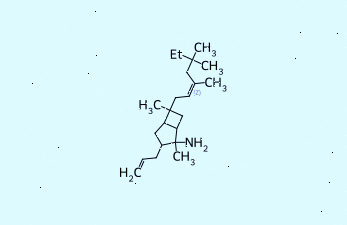 C=CCC1CC2C(CC2(C)C/C=C(/C)CC(C)(C)CC)C1(C)N